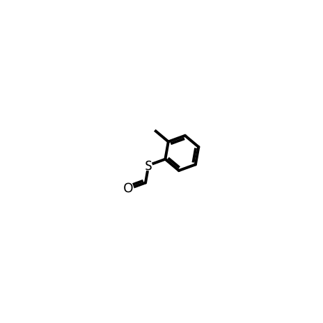 Cc1ccccc1SC=O